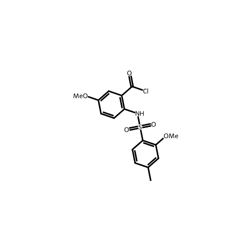 COc1ccc(NS(=O)(=O)c2ccc(C)cc2OC)c(C(=O)Cl)c1